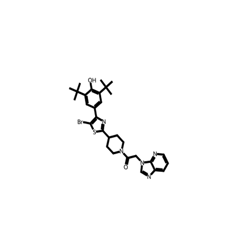 CC(C)(C)c1cc(-c2nc(C3CCN(C(=O)Cn4cnc5cccnc54)CC3)sc2Br)cc(C(C)(C)C)c1O